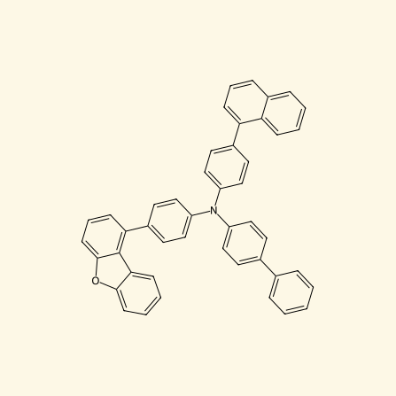 c1ccc(-c2ccc(N(c3ccc(-c4cccc5ccccc45)cc3)c3ccc(-c4cccc5oc6ccccc6c45)cc3)cc2)cc1